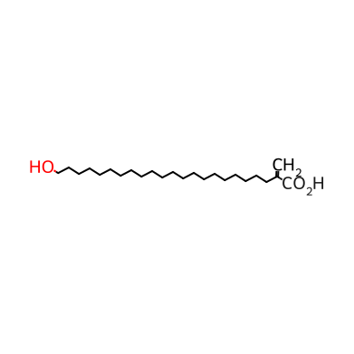 C=C(CCCCCCCCCCCCCCCCCCCCCO)C(=O)O